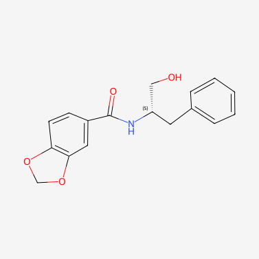 O=C(N[C@H](CO)Cc1ccccc1)c1ccc2c(c1)OCO2